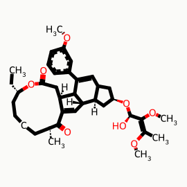 CC[C@H]1CCCC[C@@H](C)C(=O)C2=C[C@@H]3C(C(c4cccc(OC)c4)=CC4C[C@@H](O[C@H](O)/C(OC)=C(/C)OC)C[C@H]43)[C@@H]2CC(=O)O1